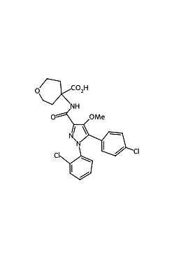 COc1c(C(=O)NC2(C(=O)O)CCOCC2)nn(-c2ccccc2Cl)c1-c1ccc(Cl)cc1